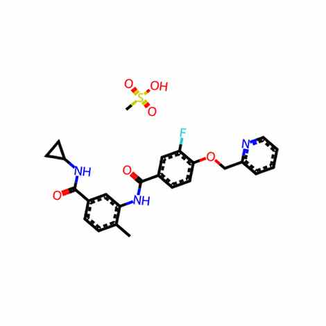 CS(=O)(=O)O.Cc1ccc(C(=O)NC2CC2)cc1NC(=O)c1ccc(OCc2ccccn2)c(F)c1